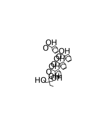 CCC(CO)(CO)CO.O=C(O)C1CC2C=CC1C2.O=C(O)C1CC2C=CC1C2.O=C(O)C1CC2C=CC1C2.O=C(O)C1CC2C=CC1C2